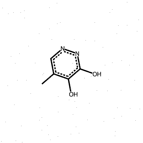 Cc1cnnc(O)c1O